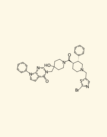 O=C([C@@H]1CCN(Cc2cnc(Br)s2)C[C@H]1c1ccccc1)N1CCC(O)(Cn2cnc3c(ccn3-c3ccccc3)c2=O)CC1